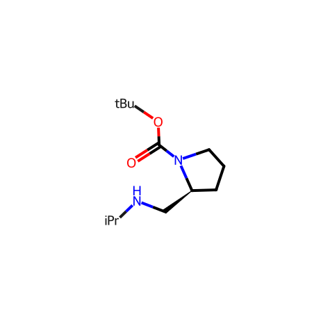 CC(C)NC[C@@H]1CCCN1C(=O)OC(C)(C)C